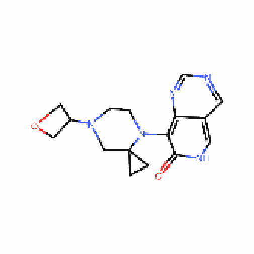 O=c1[nH]cc2cncnc2c1N1CCN(C2COC2)CC12CC2